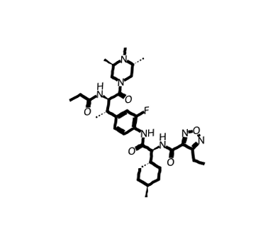 CCC(=O)N[C@@H](C(=O)N1C[C@@H](C)N(C)[C@H](C)C1)[C@@H](C)c1ccc(NC(=O)[C@@H](NC(=O)c2nonc2CC)[C@H]2CC[C@H](C)CC2)c(F)c1